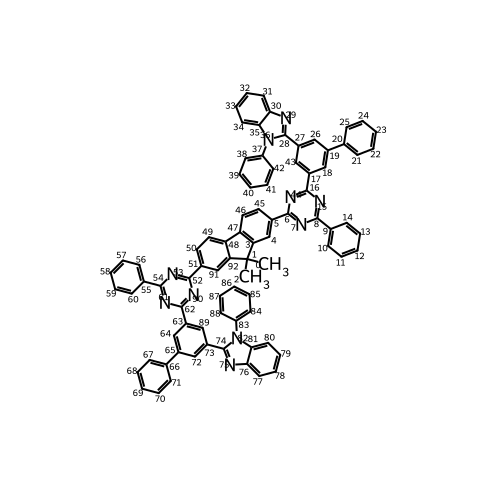 CC1(C)c2cc(-c3nc(-c4ccccc4)nc(-c4cc(-c5ccccc5)cc(-c5nc6ccccc6n5-c5ccccc5)c4)n3)ccc2-c2ccc(-c3nc(-c4ccccc4)nc(-c4cc(-c5ccccc5)cc(-c5nc6ccccc6n5-c5ccccc5)c4)n3)cc21